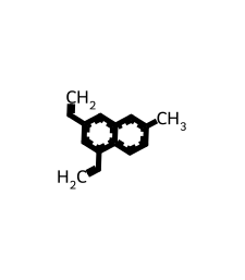 C=Cc1cc(C=C)c2ccc(C)cc2c1